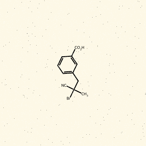 CC(Br)(C#N)Cc1cccc(C(=O)O)c1